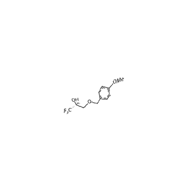 COc1ccc(COC[C@@H](O)C(F)(F)F)cc1